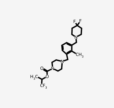 Cc1c(CN2CCN(C(=O)OC(C)C(F)(F)F)CC2)cccc1CN1CCC(F)(F)CC1